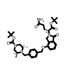 C[C@H]1CN(C(=O)OC(C)(C)C)C[C@H](C)N1Cc1ccc(COc2cccc3c2CN([C@@H](CCC(N)=O)C(=O)OC(C)(C)C)C3=O)cc1